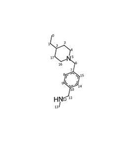 CCC1CCN(Cc2ccc(CNC)cc2)CC1